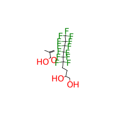 C=C(C)C(=O)O.OCC(O)CCC(F)(F)C(F)(F)C(F)(F)C(F)(F)C(F)(F)C(F)(F)F